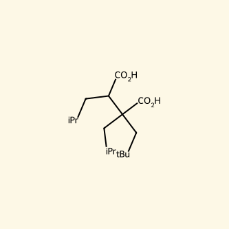 CC(C)CC(C(=O)O)C(CC(C)C)(CC(C)(C)C)C(=O)O